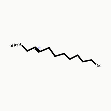 CCCCCCCC/C=C/CCCCCCCC(C)=O